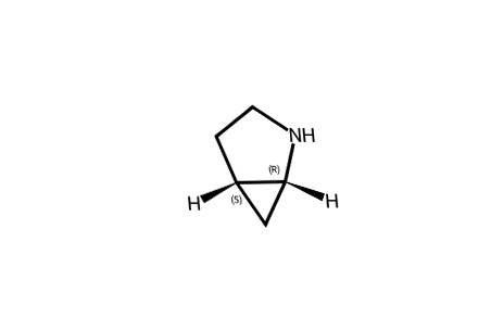 C1C[C@H]2C[C@H]2N1